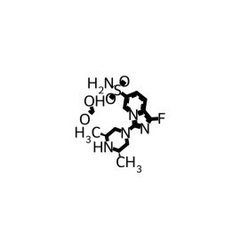 C[C@H]1CN(c2nc(F)c3ccc(S(N)(=O)=O)cn23)C[C@H](C)N1.O=CO